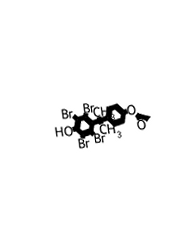 CC(C)(c1ccc(OC2CO2)cc1)c1c(Br)c(Br)c(O)c(Br)c1Br